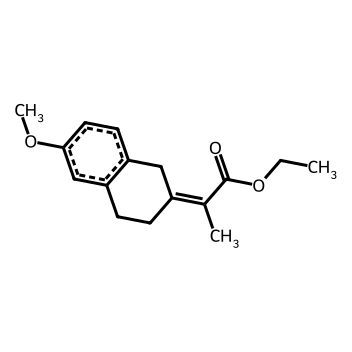 CCOC(=O)C(C)=C1CCc2cc(OC)ccc2C1